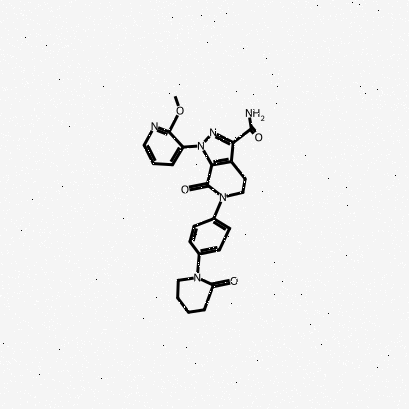 COc1ncccc1-n1nc(C(N)=O)c2c1C(=O)N(c1ccc(N3CCCCC3=O)cc1)CC2